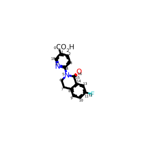 O=C(O)c1ccc(N2CCc3ccc(F)cc3C2=O)nc1